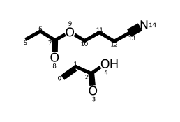 C=CC(=O)O.CCC(=O)OCCCC#N